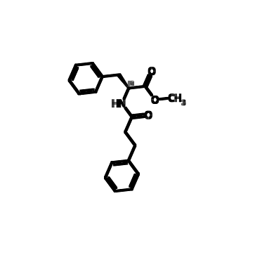 COC(=O)[C@H](Cc1ccccc1)NC(=O)CCc1ccccc1